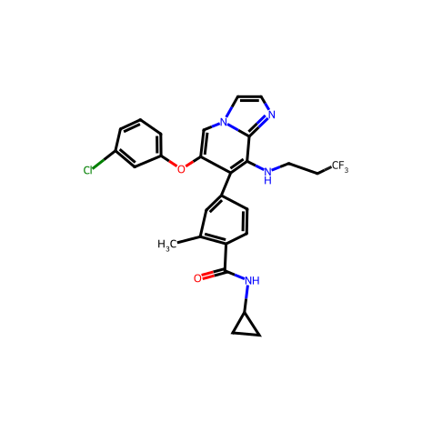 Cc1cc(-c2c(Oc3cccc(Cl)c3)cn3ccnc3c2NCCC(F)(F)F)ccc1C(=O)NC1CC1